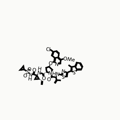 C=C[C@@H]1C[C@]1(NC(=O)[C@@H]1C[C@@H](Oc2ncc(OC)c3ccc(Cl)cc23)CN1C(=O)[C@@H](Nc1nc(-c2sc3ccccc3c2C)cs1)C(=C)C)C(=O)NS(=O)(=O)C1CC1